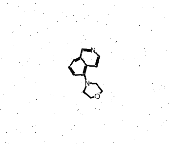 c1cc(N2CCOCC2)c2ccncc2c1